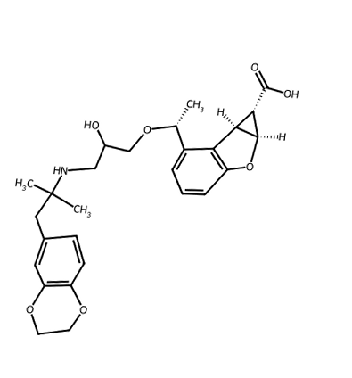 C[C@@H](OCC(O)CNC(C)(C)Cc1ccc2c(c1)OCCO2)c1cccc2c1[C@@H]1[C@H](O2)[C@H]1C(=O)O